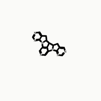 c1ncc2c(n1)N1c3cncc4c3C(C1C2)C1Cc2cncnc2N41